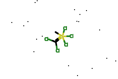 CS(Cl)(Cl)(Cl)=C(Cl)Cl